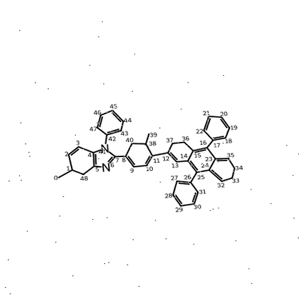 CC1C=Cc2c(nc(C3=CC=C(C4=Cc5c(c(-c6ccccc6)c6c(c5-c5ccccc5)=CCCC=6)CC4)C(C)C3)n2-c2ccccc2)C1